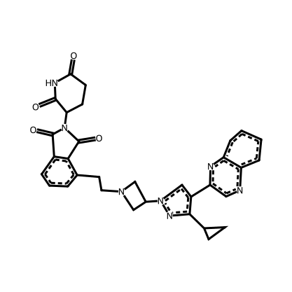 O=C1CCC(N2C(=O)c3cccc(CCN4CC(n5cc(-c6cnc7ccccc7n6)c(C6CC6)n5)C4)c3C2=O)C(=O)N1